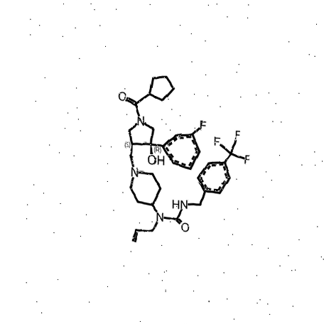 C=CCN(C(=O)NCc1ccc(C(F)(F)F)cc1)C1CCN(C[C@H]2CN(C(=O)C3CCCC3)C[C@]2(O)c2cccc(F)c2)CC1